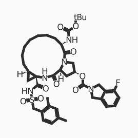 Cc1ccc(CS(=O)(=O)NC(=O)[C@@]23C[C@H]2CCCCCCC[C@H](NC(=O)OC(C)(C)C)C(=O)N2C[C@H](OC(=O)N4Cc5cccc(F)c5C4)C[C@H]2C(=O)N3)c(C)c1